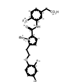 CC[C@H](C)n1c(CCOc2ccc(F)cc2F)ccc1C(=O)Nc1cc(CC(=O)O)ccc1C(F)(F)F